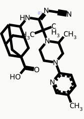 Cc1ccc(N2CCN(C(C)(C)/C(=N\C#N)NC3C4CC5CC3CC(C(=O)O)(C5)C4)C(C)C2)nc1